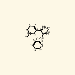 CCCc1nsnc1C1=CCCN(C)C1.c1ccncc1